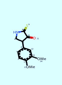 COc1ccc(C2CNC(=S)C2=O)cc1OC